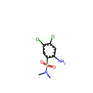 CN(C)S(=O)(=O)c1cc(Cl)c(Cl)cc1N